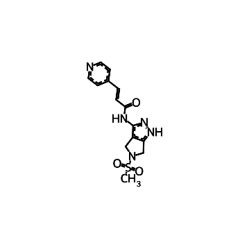 CS(=O)(=O)N1Cc2[nH]nc(NC(=O)C=Cc3ccncc3)c2C1